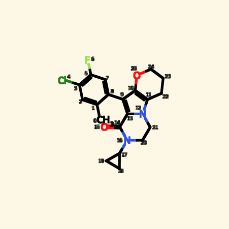 Cc1cc(Cl)c(F)cc1-c1c2c(n3c1C(=O)N(C1CC1)CC3)CCCO2